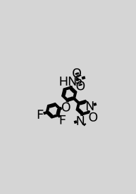 CN(C)c1cc(-c2cc(NS(C)(=O)=O)ccc2Oc2ccc(F)cc2F)cn(C)c1=O